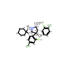 CC1(C[C@@H]2N[C@H](C(=O)O)[C@H](c3cccc(Cl)c3F)[C@]2(C#N)c2ccc(Cl)cc2F)CCCCC1